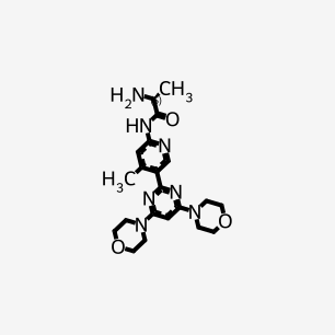 Cc1cc(NC(=O)[C@H](C)N)ncc1-c1nc(N2CCOCC2)cc(N2CCOCC2)n1